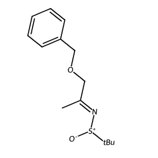 C/C(COCc1ccccc1)=N\[S+]([O-])C(C)(C)C